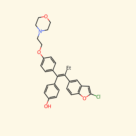 CC/C(=C(/c1ccc(O)cc1)c1ccc(OCCN2CCOCC2)cc1)c1ccc2oc(Cl)cc2c1